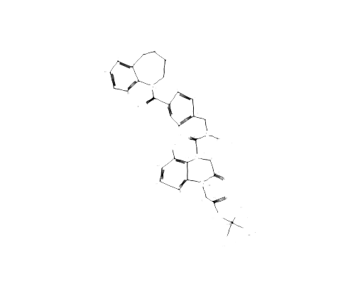 CN(Cc1ccc(C(=O)N2CCCCc3ccccc32)cc1)C(=O)N1CC(=O)N(CC(=O)OC(C)(C)C)c2cccc(F)c21